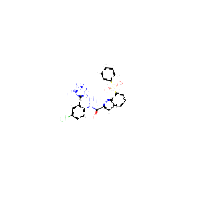 O=C(Nc1ccc(Cl)cc1-c1nnn[nH]1)c1cc2cccc(S(=O)(=O)c3ccccc3)c2[nH]1